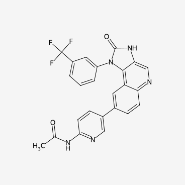 CC(=O)Nc1ccc(-c2ccc3ncc4[nH]c(=O)n(-c5cccc(C(F)(F)F)c5)c4c3c2)cn1